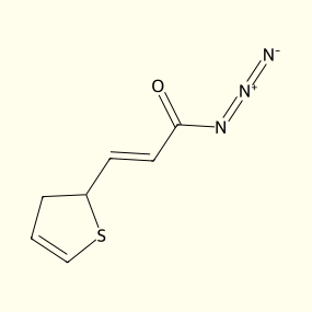 [N-]=[N+]=NC(=O)/C=C/C1CC=CS1